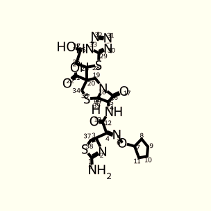 Nc1nc(C(=NOC2CCCC2)C(=O)NC2C(=O)N3CC(C(=O)O)(C(CCO)Sc4nnn[nH]4)CS[C@H]23)cs1